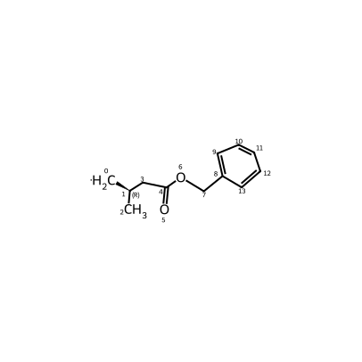 [CH2][C@H](C)CC(=O)OCc1ccccc1